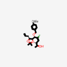 C=CC[C@@H]1OC(C)(C)O[C@@H]1[C@H](OCc1ccc(OC)cc1)/C(F)=C\[C@@H](C)C(C)O